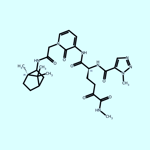 CNC(=O)C(=O)CC[C@H](NC(=O)c1cnnn1C)C(=O)Nc1cccn(CC(=O)NC2CC3CC[C@]2(C)C3(C)C)c1=O